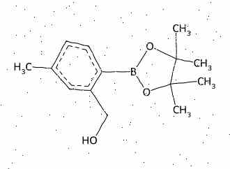 Cc1ccc(B2OC(C)(C)C(C)(C)O2)c(CO)c1